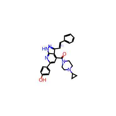 O=C(c1cc(-c2ccc(O)cc2)nc2[nH]nc(/C=C/c3ccccc3)c12)N1CCN(C2CC2)CC1